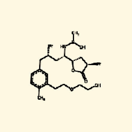 CB(O)N[C@@H](C[C@H](Cc1ccc(C)c(CCOCCO)c1)C(C)C)[C@@H]1C[C@@H](C(C)C)C(=O)O1